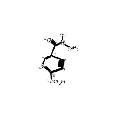 CCN(N)C(=O)c1ccc(C(=O)O)nc1